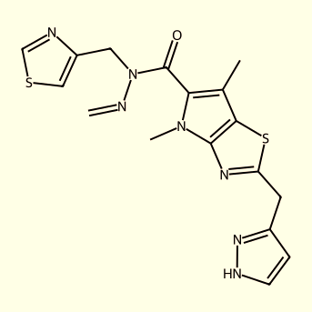 C=NN(Cc1cscn1)C(=O)c1c(C)c2sc(Cc3cc[nH]n3)nc2n1C